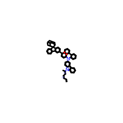 C=C/C=C\C=C(/C)n1c2ccccc2c2cc(N(c3ccc(-c4ccc5c(c4)-c4ccccc4C54C5CC6CC(C5)CC4C6)cc3)c3ccccc3-c3ccccc3)ccc21